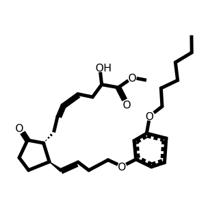 CCCCCCOc1cccc(OCC/C=C/[C@H]2CCC(=O)[C@@H]2CC=C=CCC(O)C(=O)OC)c1